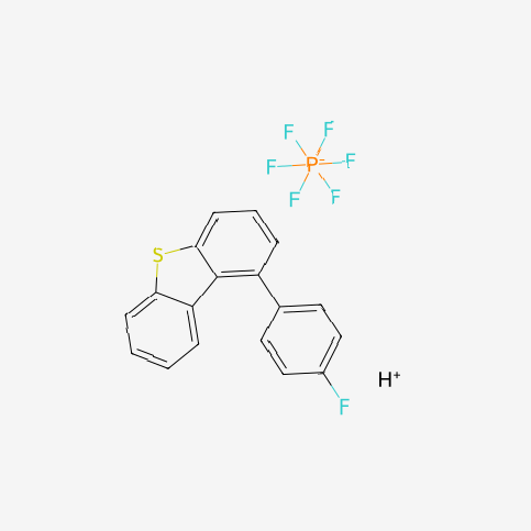 F[P-](F)(F)(F)(F)F.Fc1ccc(-c2cccc3sc4ccccc4c23)cc1.[H+]